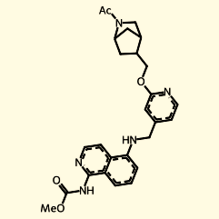 COC(=O)Nc1nccc2c(NCc3ccnc(OCC4CC5CC4CN5C(C)=O)c3)cccc12